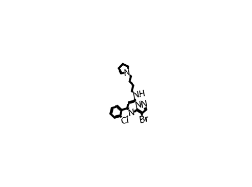 Clc1ccccc1-c1cc(NCCCCN2CCCC2)n2ncc(Br)c2n1